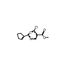 COC(=O)c1cnc(C2=CCCC2)cc1Cl